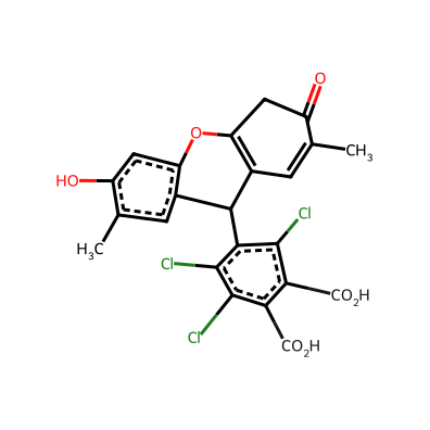 CC1=CC2=C(CC1=O)Oc1cc(O)c(C)cc1C2c1c(Cl)c(Cl)c(C(=O)O)c(C(=O)O)c1Cl